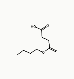 C=C(CCC(=O)O)OCCCC